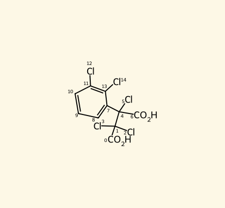 O=C(O)C(Cl)(Cl)C(Cl)(C(=O)O)c1cccc(Cl)c1Cl